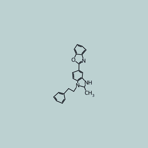 CC1Nc2cc(-c3nc4ccccc4o3)ccc2N1CCc1ccccc1